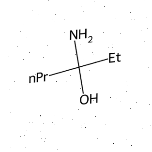 [CH2]CC(N)(O)CCC